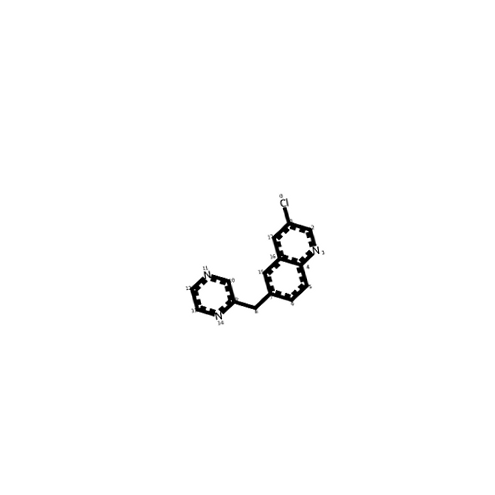 Clc1cnc2ccc(Cc3cnccn3)cc2c1